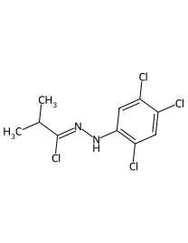 CC(C)/C(Cl)=N/Nc1cc(Cl)c(Cl)cc1Cl